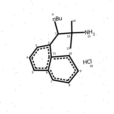 CCCCC(c1cccc2ccccc12)C(C)(C)N.Cl